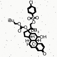 CCC(C)COC(=O)O[C@]1(C(=O)COS(=O)(=O)c2ccc(Cl)cc2)CC[C@H]2[C@@H]3CCC4=CC(=O)C=C[C@]4(C)[C@H]3C(O)C[C@@]21C